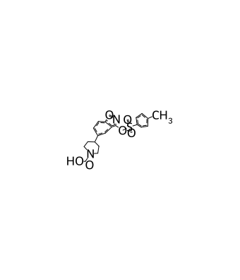 Cc1ccc(S(=O)(=O)Oc2noc3ccc(C4CCN(C(=O)O)CC4)cc23)cc1